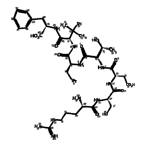 CC(C)C[C@H](NC(=O)[C@@H](NC(=O)[C@H](CC(=O)O)NC(=O)[C@H](CO)NC(=O)[C@@H](N)CCCNC(=N)N)[C@@H](C)O)C(=O)N[C@H](C(=O)N[C@@H](Cc1ccccc1)C(=O)O)C(C)(C)S